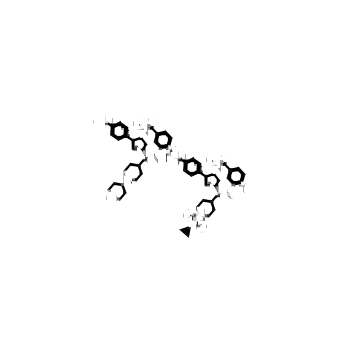 CN(C(=O)c1ccc(Cl)c(C(F)(F)F)c1)C1CN(C(=O)C2CCN(C3CCOCC3)CC2)CC1c1ccc(Cl)cc1.CN(C(=O)c1ccc(Cl)c(C(F)(F)F)c1)C1CN(C(=O)C2CCN(S(=O)(=O)C3CC3)CC2)CC1c1ccc(Cl)cc1